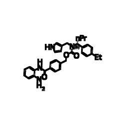 CCC[C@H](c1ccc(CC)cc1)N(Cc1cc[nH]c1)C(=O)OCc1ccc(C(=O)Nc2ccccc2N)cc1